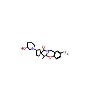 CC1C2Oc3ccc(C(F)(F)F)cc3CN2C(=O)[C@]12CC[C@@H](N1CCC[C@@H](O)C1)C2